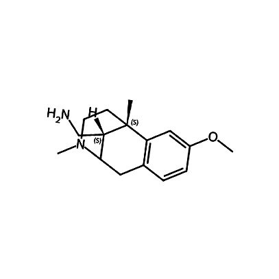 COc1ccc2c(c1)[C@@]1(C)CCN(C)C(C2)[C@@H]1CN